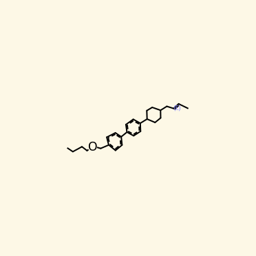 C/C=C/CC1CCC(c2ccc(-c3ccc(COCCCC)cc3)cc2)CC1